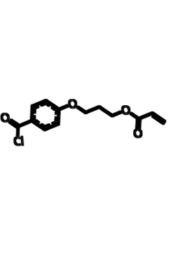 C=CC(=O)OCCCOc1ccc(C(=O)Cl)cc1